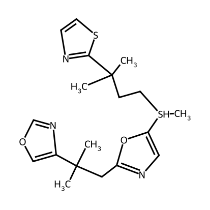 C[SH](CCC(C)(C)c1nccs1)c1cnc(CC(C)(C)c2cocn2)o1